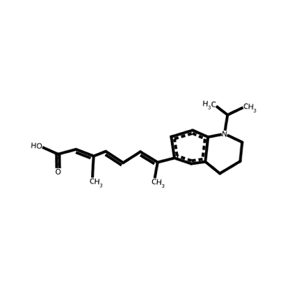 CC(/C=C/C=C(\C)c1ccc2c(c1)CCCN2C(C)C)=C\C(=O)O